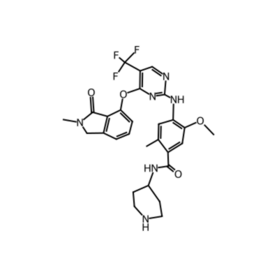 COc1cc(C(=O)NC2CCNCC2)c(C)cc1Nc1ncc(C(F)(F)F)c(Oc2cccc3c2C(=O)N(C)C3)n1